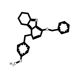 COc1ccc(CC2C=CC(OCc3ccccc3)=C3N=C4CCCCC4=C32)cc1